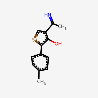 CC(=N)c1csc(-c2ccc(C)cc2)c1O